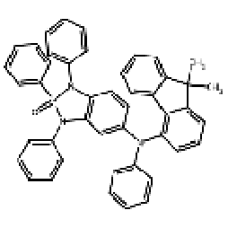 CC1(C)c2ccccc2-c2c(N(c3ccccc3)c3ccc4c(c3)N(c3ccccc3)P(=O)(c3ccccc3)N4c3ccccc3)cccc21